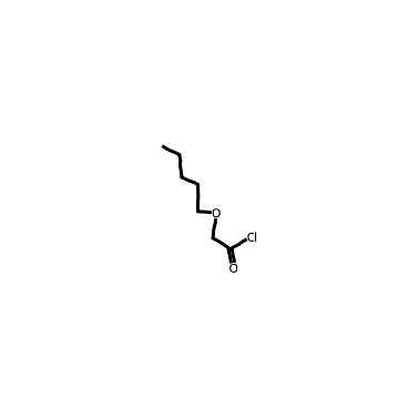 CCCCCOCC(=O)Cl